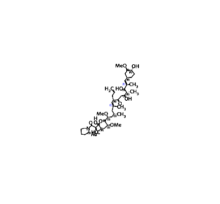 C=CC[C@H](/C=C(\C)C[C@H](C)C[C@H](OC)[C@H]1O[C@@](O)(C(=O)C(=O)N2CCCC[C@H]2C(C)=O)[C@H](C)C[C@@H]1OC)C(=O)C[C@H](O)[C@@H](C)[C@H](O)/C(C)=C/[C@@H]1CC[C@@H](O)[C@H](OC)C1